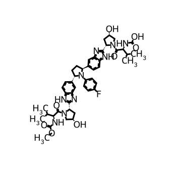 COC(=O)N[C@H](C(=O)N1C[C@@H](O)C[C@H]1c1nc2cc([C@@H]3CC[C@@H](c4ccc5[nH]c([C@@H]6C[C@H](O)CN6C(=O)[C@@H](NC(=O)O)C(C)C)nc5c4)N3c3ccc(F)cc3)ccc2[nH]1)C(C)C